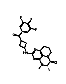 C[C@H]1C(=O)N2CCCc3nc(NC4CN(C(=O)c5cc(F)c(F)c(F)c5)C4)nc(c32)N1C